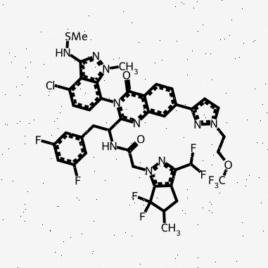 CSNc1nn(C)c2c(-n3c(C(Cc4cc(F)cc(F)c4)NC(=O)Cn4nc(C(F)F)c5c4C(F)(F)C(C)C5)nc4cc(-c5ccn(CCOC(F)(F)F)n5)ccc4c3=O)ccc(Cl)c12